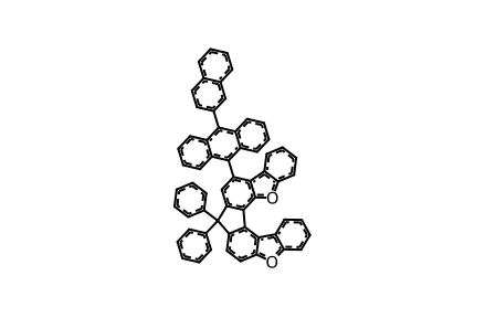 c1ccc(C2(c3ccccc3)c3cc(-c4c5ccccc5c(-c5ccc6ccccc6c5)c5ccccc45)c4c(oc5ccccc54)c3-c3c2ccc2oc4ccccc4c32)cc1